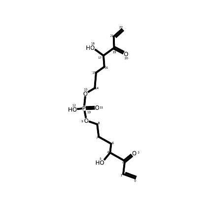 C=CC(=O)C(O)CCCOP(=O)(O)OCCCC(O)C(=O)C=C